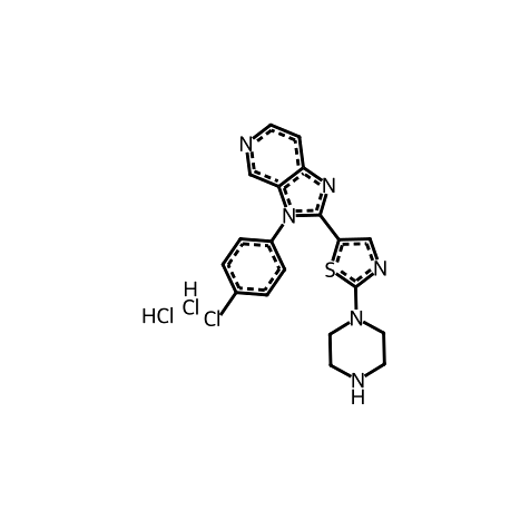 Cl.Cl.Clc1ccc(-n2c(-c3cnc(N4CCNCC4)s3)nc3ccncc32)cc1